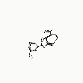 CNc1cccc2nc(-c3ccnc(Cl)n3)oc12